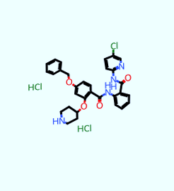 Cl.Cl.O=C(Nc1ccc(Cl)cn1)c1ccccc1NC(=O)c1ccc(OCc2ccccc2)cc1OC1CCNCC1